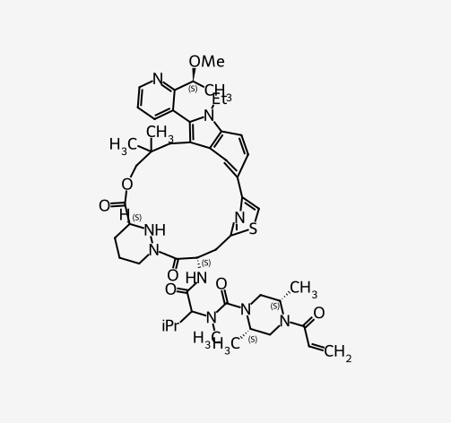 C=CC(=O)N1C[C@H](C)N(C(=O)N(C)C(C(=O)N[C@H]2Cc3nc(cs3)-c3ccc4c(c3)c(c(-c3cccnc3[C@H](C)OC)n4CC)CC(C)(C)COC(=O)[C@@H]3CCCN(N3)C2=O)C(C)C)C[C@@H]1C